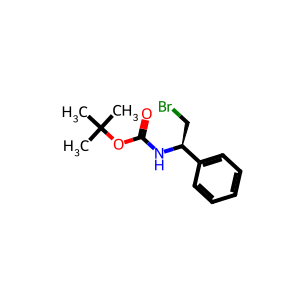 CC(C)(C)OC(=O)N[C@@H](CBr)c1ccccc1